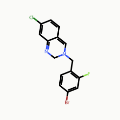 Fc1cc(Br)ccc1CN1C=c2ccc(Cl)cc2=NC1